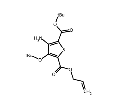 C=CCOC(=O)c1sc(C(=O)OC(C)(C)C)c(N)c1OC(C)(C)C